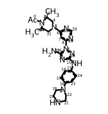 CC(=O)N1[C@H](C)CN(c2cc(-n3nc(Nc4ccc(N5CCNCC5)cc4)nc3N)ncn2)C[C@@H]1C